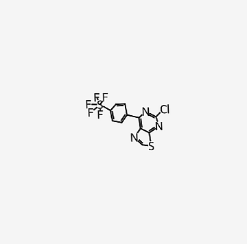 FS(F)(F)(F)(F)c1ccc(-c2nc(Cl)nc3scnc23)cc1